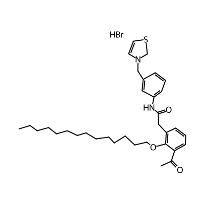 Br.CCCCCCCCCCCCCCOc1c(CC(=O)Nc2cccc(CN3C=CSC3)c2)cccc1C(C)=O